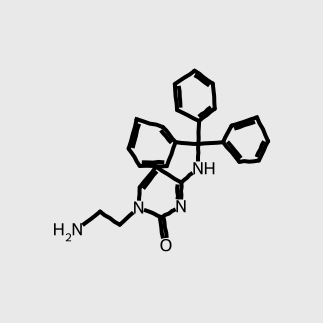 NCCn1ccc(NC(c2ccccc2)(c2ccccc2)c2ccccc2)nc1=O